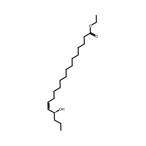 CCC[C@H](O)/C=C\CCCCCCCCCCCCC(=O)OCC